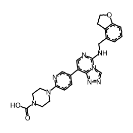 O=C(O)N1CCN(c2ccc(-c3cnc(NCc4cccc5c4CCO5)n4cnnc34)cn2)CC1